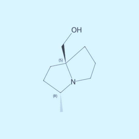 C[C@@H]1CC[C@]2(CO)CCCN12